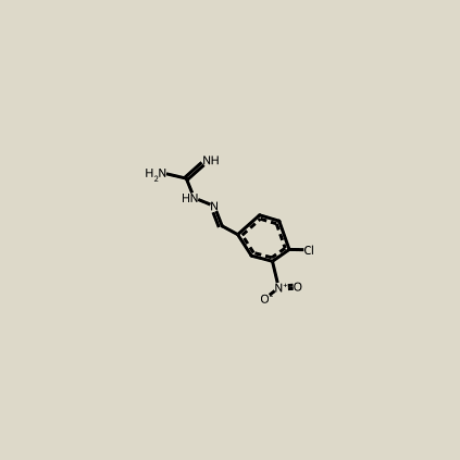 N=C(N)N/N=C/c1ccc(Cl)c([N+](=O)[O-])c1